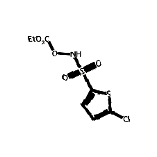 CCOC(=O)ONS(=O)(=O)c1ccc(Cl)s1